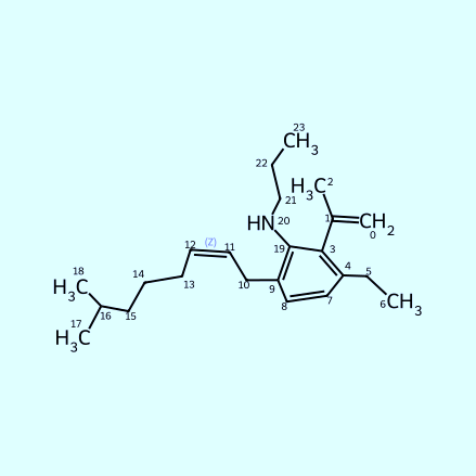 C=C(C)c1c(CC)ccc(C/C=C\CCCC(C)C)c1NCCC